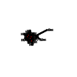 CCCCCCCCCCCCC/C=C/[C@@H](O)[C@H](CO[C@@H]1OC(CO)[C@@H](O[C@@H]2OC(CO)[C@H](O)[C@H](O[C@@H]3OC(CO)[C@@H](O[C@@H]4OC(CO)[C@H](O)[C@H](O[C@@H]5OC(CO)[C@@H](O[C@@H]6OC(CO)[C@H](O)[C@H](O)C6O)[C@H](O[C@H]6OC(C)[C@@H](O)C(O)[C@@H]6O)C5NC(C)=O)C4O)[C@H](O)C3NC(C)=O)C2O)[C@H](O)C1O)NC(=O)CCCCCCCCCCCCCCCCCCCCCCC